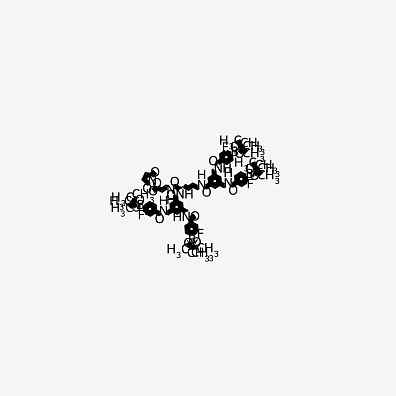 CC1(C)OB(c2ccc(C(=O)NCc3cc(CNC(=O)c4ccc(B5OC(C)(C)C(C)(C)O5)c(F)c4)cc(C(=O)NCCCC[C@H](NC(=O)c4cc(CNC(=O)c5ccc(B6OC(C)(C)C(C)(C)O6)c(F)c5)cc(CNC(=O)c5ccc(B6OC(C)(C)C(C)(C)O6)c(F)c5)c4)C(=O)NCCC(=O)ON4C(=O)CCC4=O)c3)cc2F)OC1(C)C